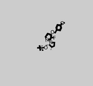 COc1ccc(COc2ccnc(N3CC[C@H](C)[C@@H]3CO[Si](C)(C)C(C)(C)C)c2F)cc1